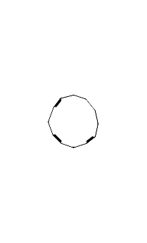 [C]1=CCC=CCC=CCCCC1